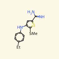 CCc1ccc(Nc2cc(C(=N)N)sc2SC)cc1